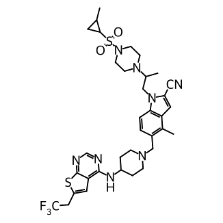 Cc1c(CN2CCC(Nc3ncnc4sc(CC(F)(F)F)cc34)CC2)ccc2c1cc(C#N)n2CC(C)N1CCN(S(=O)(=O)C2CC2C)CC1